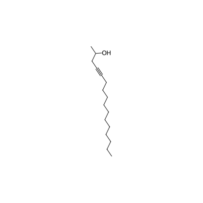 CCCCCCCCCCCC#CCC(C)O